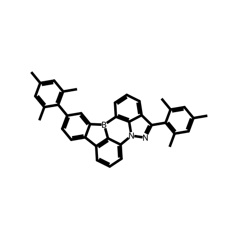 Cc1cc(C)c(-c2ccc3c(c2)B2c4c-3cccc4-n3nc(-c4c(C)cc(C)cc4C)c4cccc2c43)c(C)c1